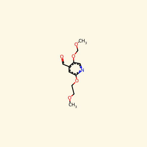 COCCOc1cc(C=O)c(OCOC)cn1